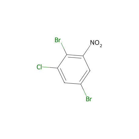 O=[N+]([O-])c1cc(Br)cc(Cl)c1Br